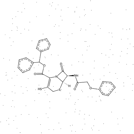 O=C(COc1ccccc1)N[C@@H]1C(=O)N2C(C(=O)OC(c3ccccc3)c3ccccc3)=C(S)CS[C@H]12